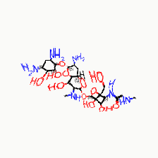 CNCC(=O)N[C@H]1C(O)C2(O)[C@@H](OC3O[C@H]4CC(N)[C@@H](O[C@@H]5C(N)C[C@@H](N)C(O)[C@H]5O)OC4C(O)C3NC)OC12CO